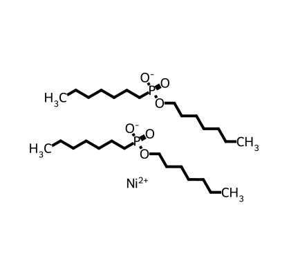 CCCCCCCOP(=O)([O-])CCCCCCC.CCCCCCCOP(=O)([O-])CCCCCCC.[Ni+2]